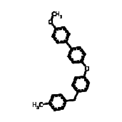 COc1ccc(-c2ccc(Oc3ccc(Cc4ccc(C)cc4)cc3)cc2)cc1